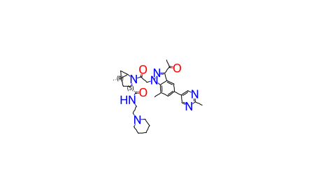 CC(=O)c1nn(CC(=O)N2C3C[C@]3(C)C[C@H]2C(=O)NCCN2CCCCC2)c2c(C)cc(-c3cnc(C)nc3)cc12